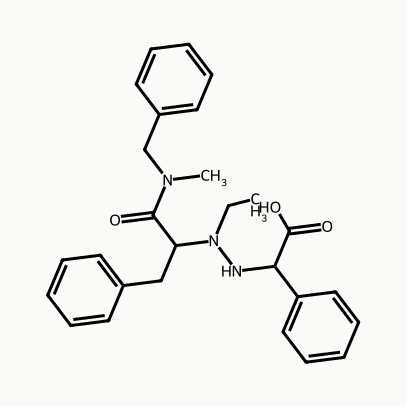 CCN(NC(C(=O)O)c1ccccc1)C(Cc1ccccc1)C(=O)N(C)Cc1ccccc1